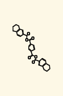 O=C(OC(=O)c1ccc2c(c1)CCCC2)c1ccc(C(=O)OC(=O)c2ccc3c(c2)CCCC3)cc1